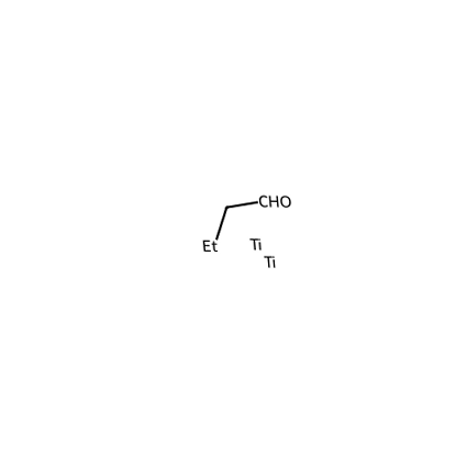 CCCC=O.[Ti].[Ti]